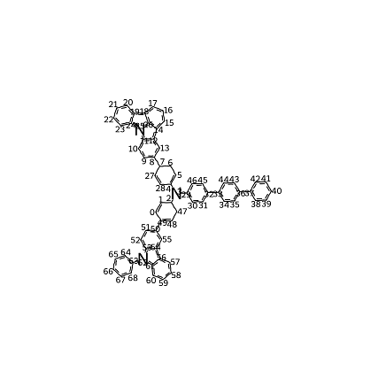 C1=CC(N(C2=CCC(c3ccc4c(c3)c3cccc5c6ccccc6n4c53)C=C2)c2ccc(-c3ccc(-c4ccccc4)cc3)cc2)CC=C1c1ccc2c(c1)c1ccccc1n2-c1ccccc1